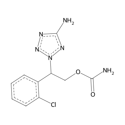 NC(=O)OCC(c1ccccc1Cl)n1nnc(N)n1